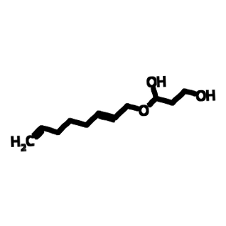 C=CCCCC=CCOC(O)CCO